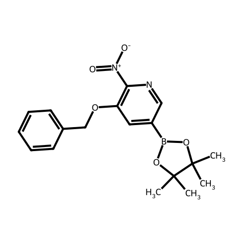 CC1(C)OB(c2cnc([N+](=O)[O-])c(OCc3ccccc3)c2)OC1(C)C